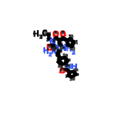 CCCN1C(=O)C(C(=O)C2CCCC2)=C(N)[N+](N)(CCc2ccc(NC(=O)C3CCCC3)cc2)C1=O